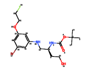 CC(C)(C)OC(=O)N[C@@H](CCO)CNc1cc(Br)cc(OCCF)c1